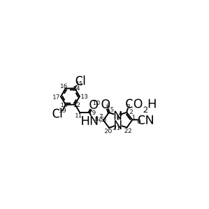 N#CC1=C(C(=O)O)N2C(=O)[C@@H](NC(=O)Cc3cc(Cl)ccc3Cl)CN2C1